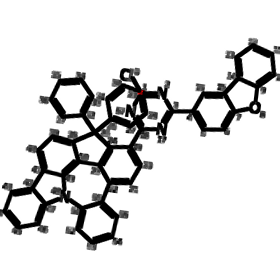 Clc1nc(-c2ccc3oc4ccccc4c3c2)nc(-c2ccc3c4c2C(c2ccccc2)(c2ccccc2)c2ccc5c6ccccc6n(c5c2-4)-c2ccccc2-3)n1